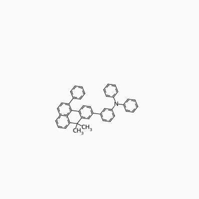 CC1(C)c2cc(-c3cccc(N(c4ccccc4)c4ccccc4)c3)ccc2-c2c(-c3ccccc3)ccc3cccc1c23